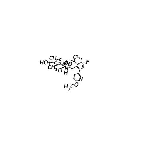 COc1ccc(-c2cc(F)cc(C(C)C)c2CC(=O)NS(=O)(=O)c2cc(C(C)(C)O)cs2)cn1